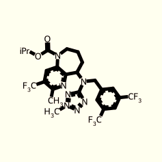 Cc1nc2c(cc1C(F)(F)F)N(C(=O)OC(C)C)CCCC2N(Cc1cc(C(F)(F)F)cc(C(F)(F)F)c1)c1nnn(C)n1